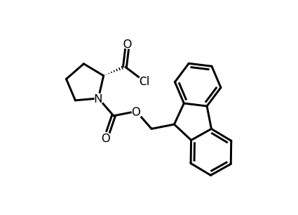 O=C(Cl)[C@H]1CCCN1C(=O)OCC1c2ccccc2-c2ccccc21